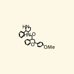 COc1ccc(C(=O)CC(C(=O)NC2CCNCC2c2ccccc2)c2ccccc2)cc1